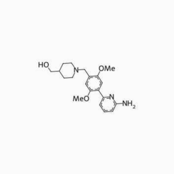 COc1cc(-c2cccc(N)n2)c(OC)cc1CN1CCC(CO)CC1